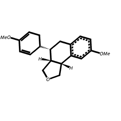 COC1=CCC([C@@H]2Cc3ccc(OC)cc3[C@@H]3COC[C@@H]32)C=C1